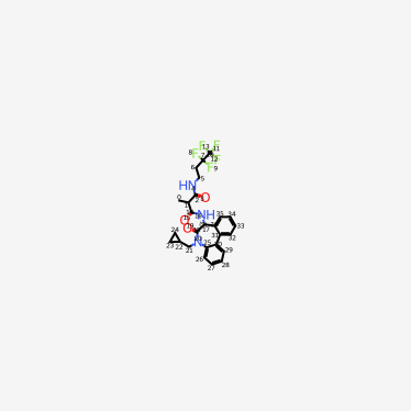 CC(C(=O)NCCC(F)(F)C(F)(F)F)C(=O)N[C@@H]1C(=O)N(CC2CC2)c2ccccc2-c2ccccc21